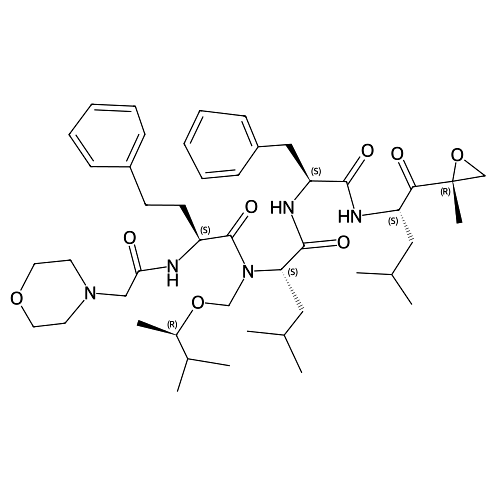 CC(C)C[C@H](NC(=O)[C@H](Cc1ccccc1)NC(=O)[C@H](CC(C)C)N(CO[C@H](C)C(C)C)C(=O)[C@H](CCc1ccccc1)NC(=O)CN1CCOCC1)C(=O)[C@@]1(C)CO1